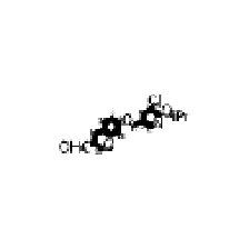 CC(C)Oc1ncc(COc2ccc3c(c2)OCC(C=O)=C3)cc1Cl